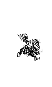 O=c1ccn([C@@H]2O[C@H](COP(=O)(O)OP(=O)(O)O)[C@@H](O)[C@H]2O)c(=O)[nH]1.[N-]=[N+]=NCC(=O)N[C@H]1C(O)O[C@H](CO)[C@@H](O)[C@@H]1O